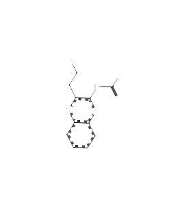 NCCc1nc2ccccc2nc1NC(N)=S